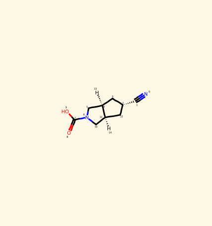 N#C[C@H]1C[C@@H]2CN(C(=O)O)C[C@@H]2C1